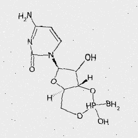 B[PH]1(O)OC[C@H]2O[C@@H](n3ccc(N)nc3=O)C(O)[C@@H]2O1